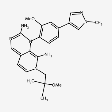 COc1cc(-c2cnn(C)c2)ccc1N1C(N)=NC=C2C=CN(CC(C)(C)OC)C(N)=C21